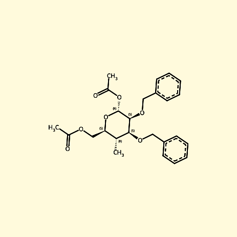 CC(=O)OC[C@H]1O[C@H](OC(C)=O)[C@@H](OCc2ccccc2)[C@@H](OCc2ccccc2)[C@@H]1C